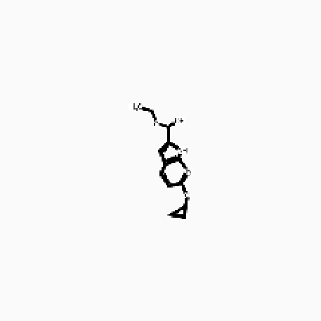 CCOC(O)c1cc2ccc(OC3CC3)nc2[nH]1